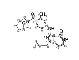 Cc1cc(Nc2nn(CC3CC3)c3cc[nH]c(=O)c23)ccc1C(=O)N1CC2CCC(C1)O2